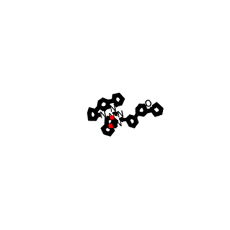 c1ccc(-c2nc(-c3cccc(-c4ccc5oc6ccccc6c5c4)c3)nc(-n3c4ccccc4c4ccc5c6ccccc6n(-c6ccccc6)c5c43)n2)cc1